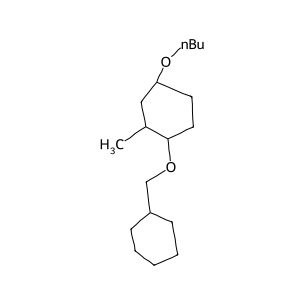 CCCCOC1CCC(OCC2CCCCC2)C(C)C1